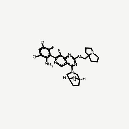 Nc1c(Cl)cc(Cl)c(F)c1-c1ncc2c(N3C[C@H]4CC[C@@H](C3)N4)nc(OCC34CCCN3CCC4)nc2c1F